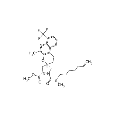 C=CCCCCC[C@H](C)C(=O)N1C[C@]2(CCc3c(c(C)nc4c(C(F)(F)F)cccc34)O2)C[C@H]1C(=O)OC